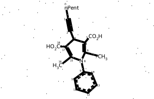 CCCCCC#CC1C(C(=O)O)=C(C)N(c2ccccc2)C(C)=C1C(=O)O